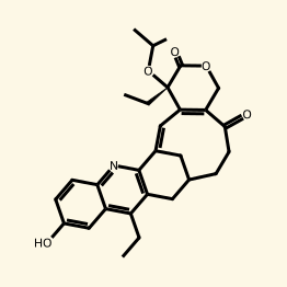 CCc1c2c(nc3ccc(O)cc13)/C1=C/C3=C(COC(=O)[C@@]3(CC)OC(C)C)C(=O)CCC(C1)C2